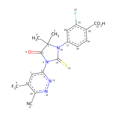 CC1(C)C(=O)N(c2cc(C(F)(F)F)c(C#N)nn2)C(=S)N1c1ccc(C(=O)O)c(F)c1